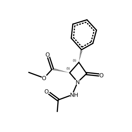 COC(=O)[C@@H]1[C@H](c2ccccc2)C(=O)N1NC(C)=O